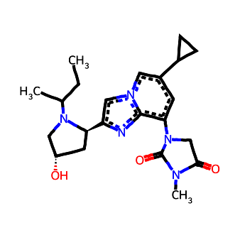 CCC(C)N1C[C@@H](O)C[C@@H]1c1cn2cc(C3CC3)cc(N3CC(=O)N(C)C3=O)c2n1